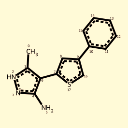 Cc1[nH]nc(N)c1-c1cc(-c2ccccc2)cs1